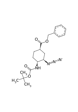 CC(C)(C)OC(=O)N[C@H]1CC[C@@H](C(=O)OCc2ccccc2)C[C@H]1N=[N+]=[N-]